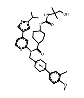 COc1ccc(C23CCC(CN(C(=O)C4CCC(OC(=O)NC(C)(C)CO)CC4)c4cc(-c5cnn(C(C)C)c5)ccn4)(CC2)CC3)cc1C